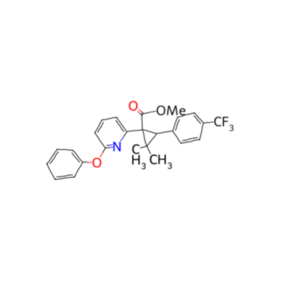 COC(=O)C1(c2cccc(Oc3ccccc3)n2)C(c2ccc(C(F)(F)F)cc2)C1(C)C